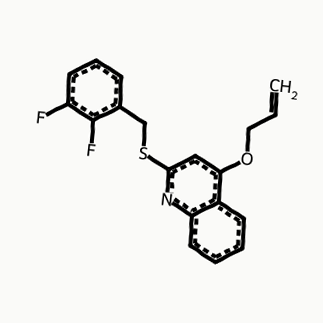 C=CCOc1cc(SCc2cccc(F)c2F)nc2ccccc12